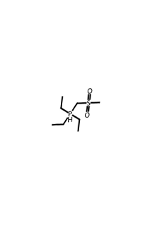 CC[PH](CC)(CC)CS(C)(=O)=O